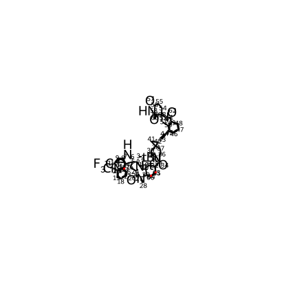 CCN1[C@@H](CC(C)(C)C)[C@@]2(CNc3cc(C(F)(F)F)ncc32)[C@@H](c2cccc(Cl)c2F)[C@@H]1C(=O)N(C)C12CCC(C(=O)N3CCC4(CC3)C[C@@H]4C#Cc3cccc4c3CN(C3CCC(=O)NC3=O)C4=O)(CC1)CC2